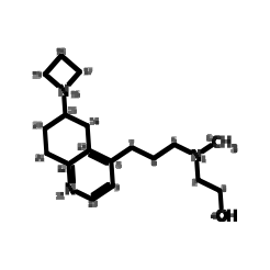 CN(CCO)CCCc1ccnc2c1CC(N1CCC1)CC2